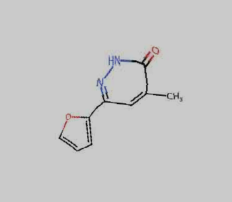 Cc1cc(-c2ccco2)n[nH]c1=O